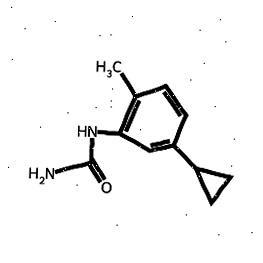 Cc1ccc(C2CC2)cc1NC(N)=O